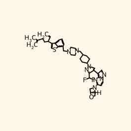 C=CC(CCC(=C)C)c1csc2c(CN3CCN(CC4CCC(n5cc(-c6cnn7ccc(N8CC9OC[C@H]98)nc67)c(C(F)F)n5)CC4)CC3)cccc12